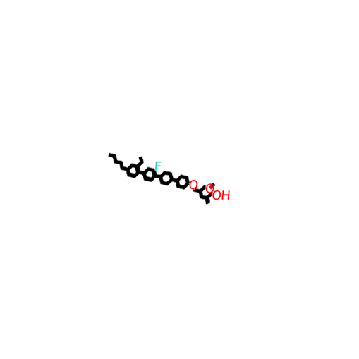 C=C(CO)CC(COC)COC1CCC(C2CCC(C3=C(F)CC(C4=C(CC)CC(CCCCC)C=C4)C=C3)CC2)CC1